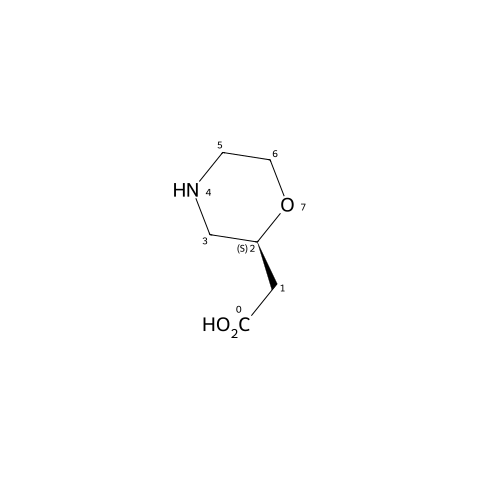 O=C(O)C[C@H]1CNCCO1